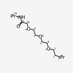 CC(C)CCOCCOCCOCC(=O)NC(C)C